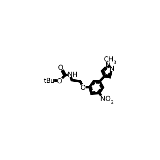 Cn1cc(-c2cc(OCCNC(=O)OC(C)(C)C)cc([N+](=O)[O-])c2)cn1